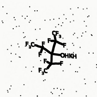 OC(C(F)(F)C(F)(F)F)(C(F)(F)C(F)(F)F)C(F)(F)C(F)(F)F.[KH]